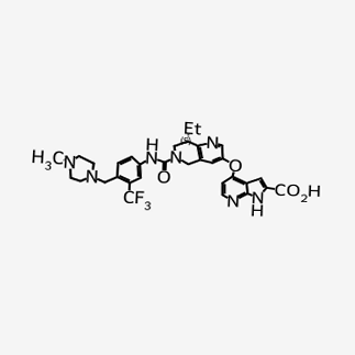 CC[C@H]1CN(C(=O)Nc2ccc(CN3CCN(C)CC3)c(C(F)(F)F)c2)Cc2cc(Oc3ccnc4[nH]c(C(=O)O)cc34)cnc21